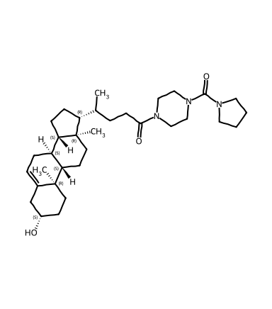 CC(CCC(=O)N1CCN(C(=O)N2CCCC2)CC1)[C@H]1CC[C@H]2[C@@H]3CC=C4C[C@@H](O)CC[C@]4(C)[C@H]3CC[C@]12C